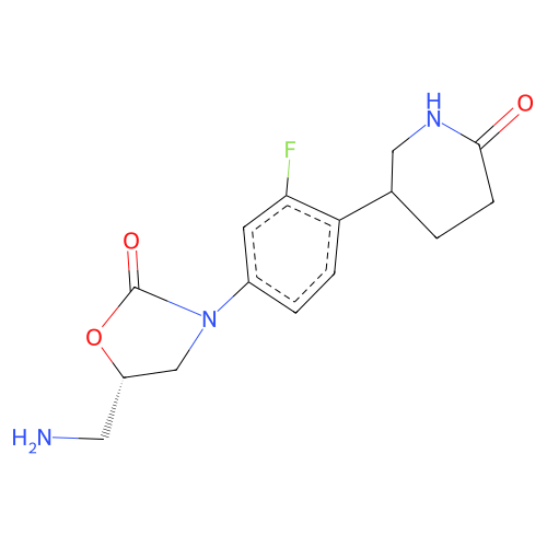 NC[C@H]1CN(c2ccc(C3CCC(=O)NC3)c(F)c2)C(=O)O1